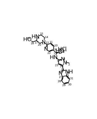 Cl.Cl.Cn1nc(NC(=O)c2ccc(N3CCNC(CO)C3)nc2)cc1-c1nc2ccccc2[nH]1